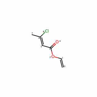 C=COC(=O)/C=C(/C)Cl